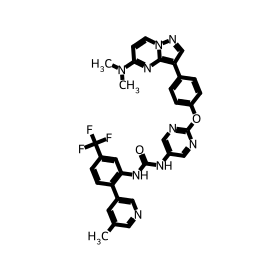 Cc1cncc(-c2ccc(C(F)(F)F)cc2NC(=O)Nc2cnc(Oc3ccc(-c4cnn5ccc(N(C)C)nc45)cc3)nc2)c1